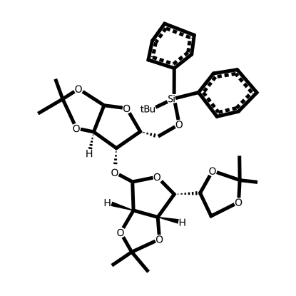 CC1(C)OCC([C@H]2OC(O[C@H]3[C@@H](CO[Si](c4ccccc4)(c4ccccc4)C(C)(C)C)OC4OC(C)(C)O[C@@H]43)[C@H]3OC(C)(C)O[C@@H]23)O1